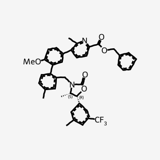 COc1ccc(-c2ccc(C(=O)OCc3ccccc3)nc2C)cc1-c1ccc(C)cc1CN1C(=O)O[C@H](c2cc(C)cc(C(F)(F)F)c2)[C@@H]1C